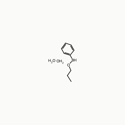 CCCOBc1ccccc1.O.O